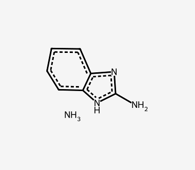 N.Nc1nc2ccccc2[nH]1